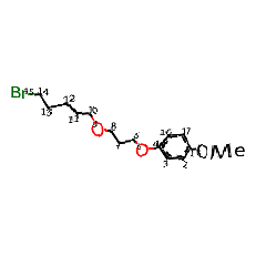 COc1ccc(OCCCOCCCCCBr)cc1